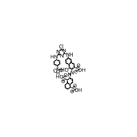 O=[SH](=O)c1ccc(Nc2nc(Cl)nc(Nc3ccc4c(O)c(N=Nc5ccc6c(S(=O)(=O)O)cccc6c5S(=O)(=O)O)c(S(=O)(=O)O)cc4c3)n2)cc1